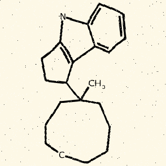 CC1(C2CCC3=C2c2ccccc2[N]3)CCCCCCCC1